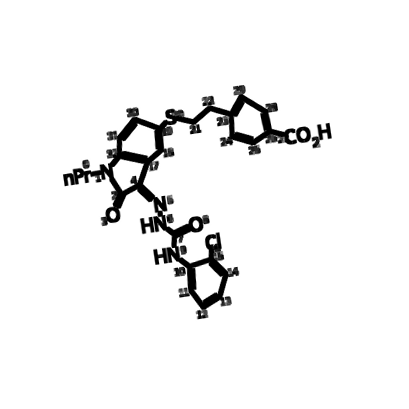 CCCN1C(=O)C(=NNC(=O)Nc2ccccc2Cl)c2cc(SCCc3ccc(C(=O)O)cc3)ccc21